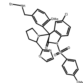 CCNCc1ccc(OC)c(C2(N3CCCC3c3ncco3)C(=O)N(S(=O)(=O)c3ccc(OC)cc3)c3ccc(Cl)cc32)c1